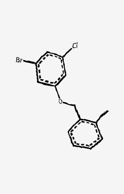 Cc1ccccc1COc1cc(Cl)cc(Br)c1